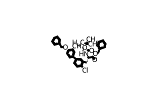 Cc1cc(-c2ccc(Cl)c(C[C@H](NC(=O)OC(C)(C)C)C(=O)OCc3ccccc3)c2)ccc1OCc1ccccc1